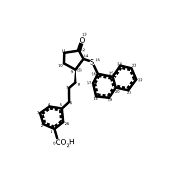 O=C(O)c1cccc(CCC[C@H]2CCC(=O)C2Sc2cccc3ccccc23)c1